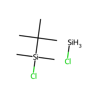 CC(C)(C)[Si](C)(C)Cl.[SiH3]Cl